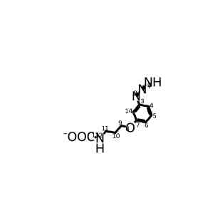 N=[N+]=Nc1cccc(OCCCNC(=O)[O-])c1